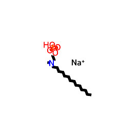 CCCCCCCCCCCCCCN(C)CCOP(=O)([O-])O.[Na+]